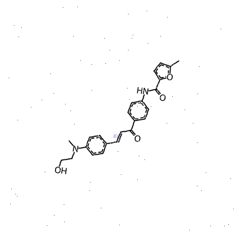 Cc1ccc(C(=O)Nc2ccc(C(=O)/C=C/c3ccc(N(C)CCO)cc3)cc2)o1